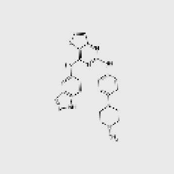 CN1CCN(c2ccc(Nc3nc(Nc4ccc5[nH]ncc5c4)c4sccc4n3)cc2)CC1